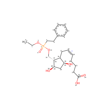 CCOP(=O)(CCc1ccccc1)OC[C@@H]1C(C/C=C\CCCC(=O)O)[C@@H](O)C[C@H]1O